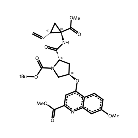 C=C[C@@H]1C[C@]1(NC(=O)[C@@H]1C[C@@H](Oc2cc(C(=O)OC)nc3cc(OC)ccc23)CN1C(=O)OC(C)(C)C)C(=O)OC